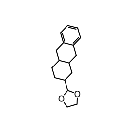 c1ccc2c(c1)CC1CCC(C3OCCO3)CC1C2